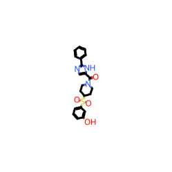 O=C(c1cnc(-c2ccccc2)[nH]1)N1CCC(S(=O)(=O)c2cccc(O)c2)CC1